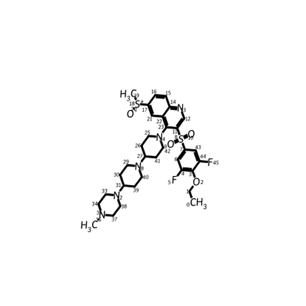 CCOc1c(F)cc(S(=O)(=O)c2cnc3ccc([S+](C)[O-])cc3c2N2CCC(N3CCC(N4CCN(C)CC4)CC3)CC2)cc1F